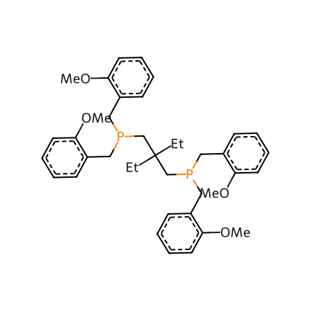 CCC(CC)(CP(Cc1ccccc1OC)Cc1ccccc1OC)CP(Cc1ccccc1OC)Cc1ccccc1OC